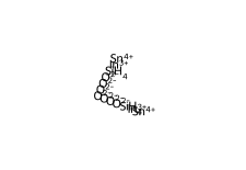 [In+3].[In+3].[O-2].[O-2].[O-2].[O-2].[O-2].[O-2].[O-2].[SiH4].[SiH4].[Sn+4].[Sn+4]